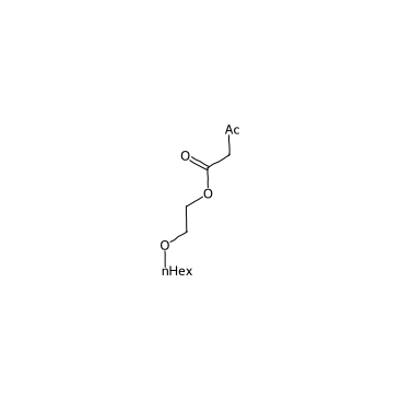 CCCCCCOCCOC(=O)CC(C)=O